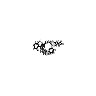 Cc1cccc(C)c1-c1cc2nc(n1)NS(=O)(=O)c1cccc(c1)N[C@H](CC1CC3(CCC3)C1)CO2